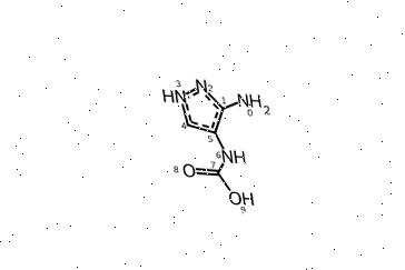 Nc1n[nH]cc1NC(=O)O